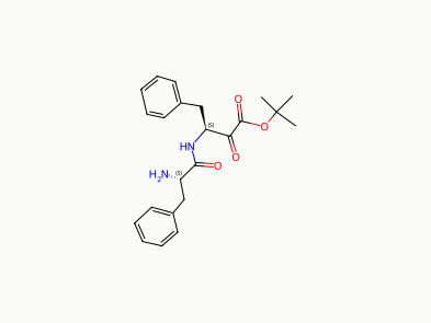 CC(C)(C)OC(=O)C(=O)[C@H](Cc1ccccc1)NC(=O)[C@@H](N)Cc1ccccc1